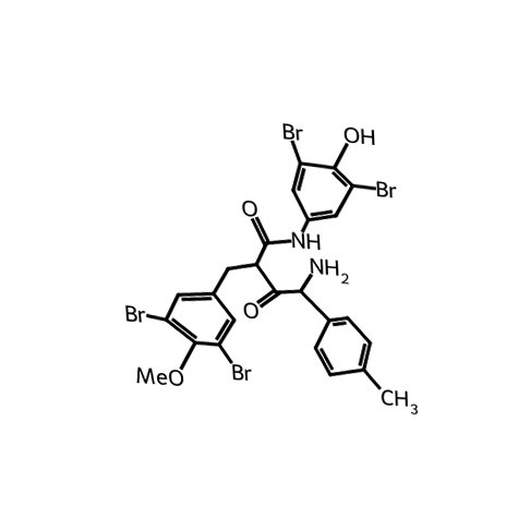 COc1c(Br)cc(CC(C(=O)Nc2cc(Br)c(O)c(Br)c2)C(=O)C(N)c2ccc(C)cc2)cc1Br